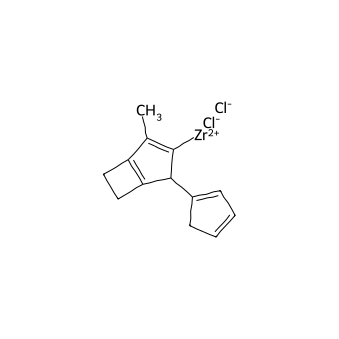 CC1=[C]([Zr+2])C(C2=CC=CC2)C2=C1CC2.[Cl-].[Cl-]